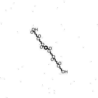 O=C(O)CCCCC(=O)OCCCCOC(=O)c1ccc(C(=O)OCCCCOC(=O)CCCCC(=O)OCCCCO)cc1